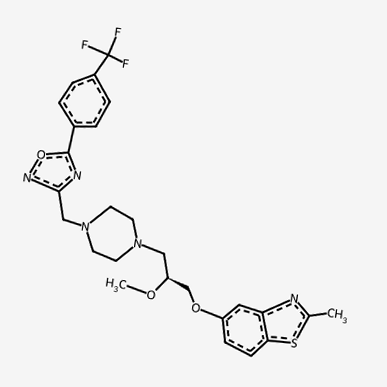 CO[C@H](COc1ccc2sc(C)nc2c1)CN1CCN(Cc2noc(-c3ccc(C(F)(F)F)cc3)n2)CC1